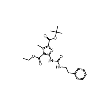 CCOC(=O)c1c(NC(=O)NCCc2ccccc2)sc(C(=O)OC(C)(C)C)c1C